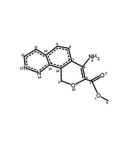 COC(=O)C1=C(N)c2ccc3ccnnc3c2CO1